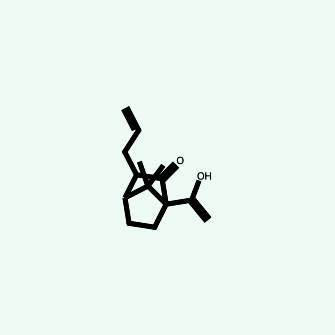 C=CCC1C(=O)C2(C(=C)O)CCC1C2(C)C